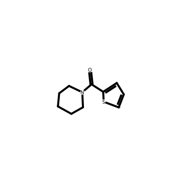 O=C(c1cc[c]s1)N1CCCCC1